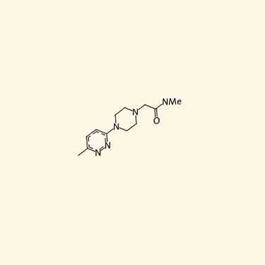 CNC(=O)CN1CCN(c2ccc(C)nn2)CC1